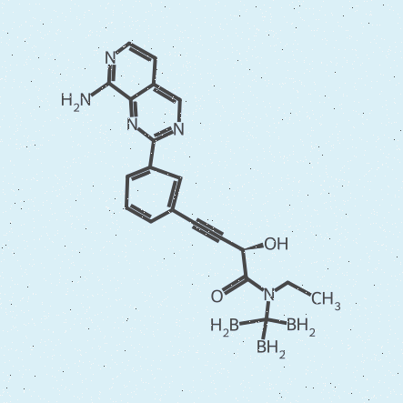 BC(B)(B)N(CC)C(=O)[C@H](O)C#Cc1cccc(-c2ncc3ccnc(N)c3n2)c1